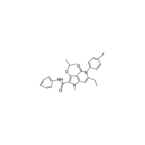 CCc1cc2c(c(OC(C)C)c(C(=O)Nc3ccccc3)n2C)c(=O)n1-c1ccc(F)cc1